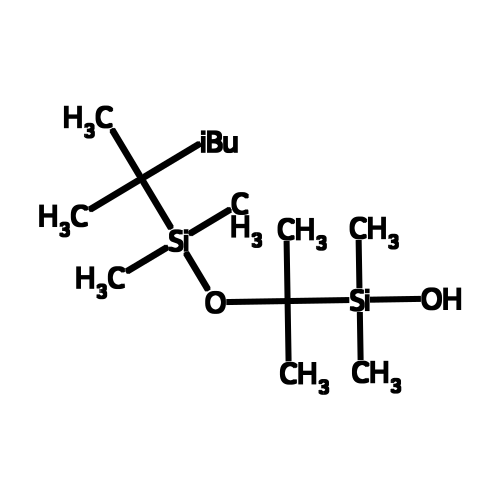 CCC(C)C(C)(C)[Si](C)(C)OC(C)(C)[Si](C)(C)O